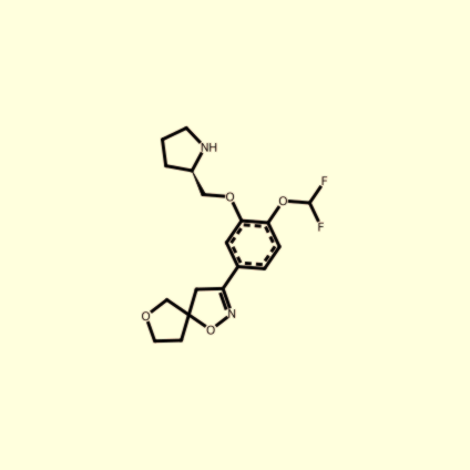 FC(F)Oc1ccc(C2=NOC3(CCOC3)C2)cc1OC[C@H]1CCCN1